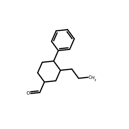 CCCC1CC(C=O)CCC1c1ccccc1